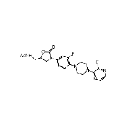 CC(=O)NCC1CN(c2ccc(N3CCN(c4nccnc4Cl)CC3)c(F)c2)C(=O)O1